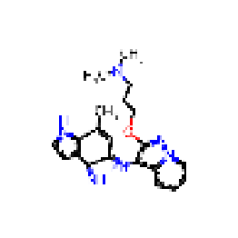 CC1=C/C(=N\c2c(OCCCN(C)C)nn3ccccc23)C(=N)c2cc[nH]c21